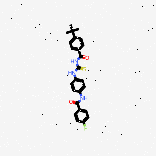 CC(C)(C)c1ccc(C(=O)NC(=S)Nc2ccc(NC(=O)c3ccc(F)cc3)cc2)cc1